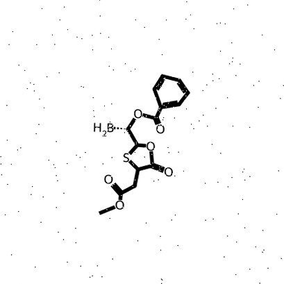 B[C@H](OC(=O)c1ccccc1)C1OC(=O)C(CC(=O)OC)S1